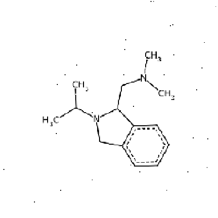 CC(C)N1Cc2ccccc2C1CN(C)C